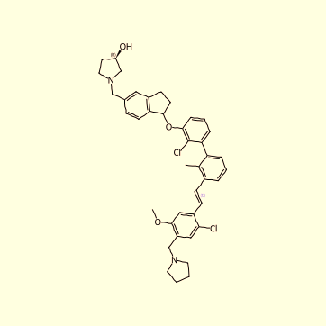 COc1cc(/C=C/c2cccc(-c3cccc(OC4CCc5cc(CN6CC[C@@H](O)C6)ccc54)c3Cl)c2C)c(Cl)cc1CN1CCCC1